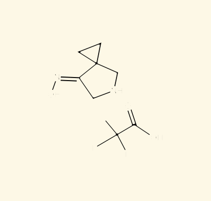 O=C(O)C(F)(F)F.ON=C1CNCC12CC2